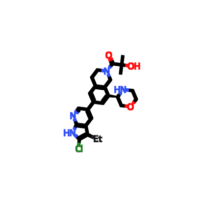 CCc1c(Cl)[nH]c2ncc(-c3cc4c(c([C@@H]5COCCN5)c3)CN(C(=O)C(C)(C)O)CC4)cc12